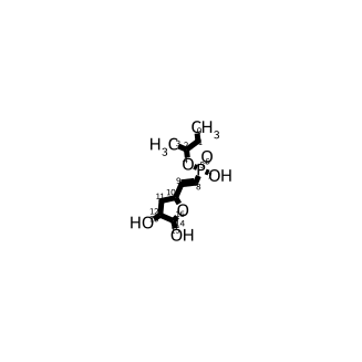 CCC(C)OP(=O)(O)C=CC1CC(O)C(O)O1